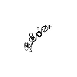 O=C1OC(CNC(O)=S)CN1c1ccc(N2CCNCC2)c(F)c1